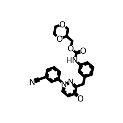 N#Cc1cccc(-n2ccc(=O)c(Cc3cccc(NC(=O)OCC4COCCO4)c3)n2)c1